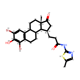 Cc1cnc(NC(=O)CC[C@@H]2CC(=O)[C@@]3(C)CCC4c5cc(Br)c(O)c(Br)c5CCC4C23)s1